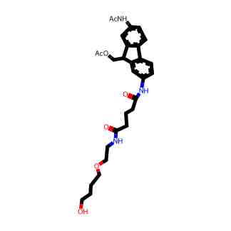 CC(=O)Nc1ccc2c(c1)C(COC(C)=O)c1cc(NC(=O)CCCC(=O)NCCOCCCCO)ccc1-2